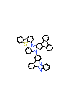 c1ccc2c(c1)N(c1ccc3c(c1)c1ccccc1c1nc4ccccc4n31)c1cc3c4ccccc4c4ccccc4c3cc1N2c1cccc2c1sc1ccccc12